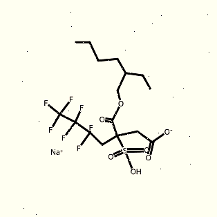 CCCCC(CC)COC(=O)C(CC(=O)[O-])(CC(F)(F)C(F)(F)C(F)(F)F)S(=O)(=O)O.[Na+]